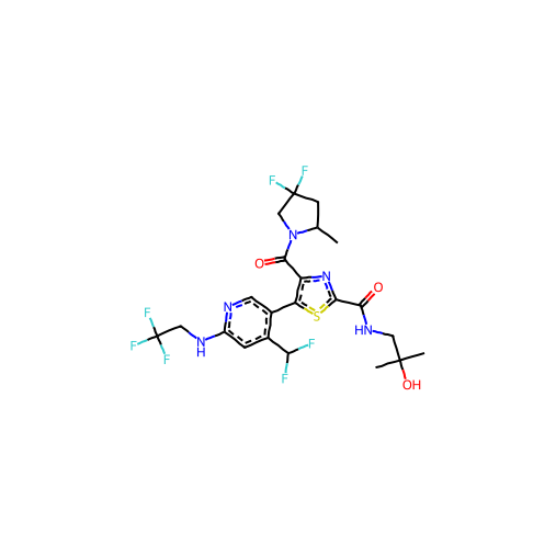 CC1CC(F)(F)CN1C(=O)c1nc(C(=O)NCC(C)(C)O)sc1-c1cnc(NCC(F)(F)F)cc1C(F)F